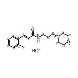 Cl.O=C(/C=C/c1ccccc1F)NCCCN1CCOCC1